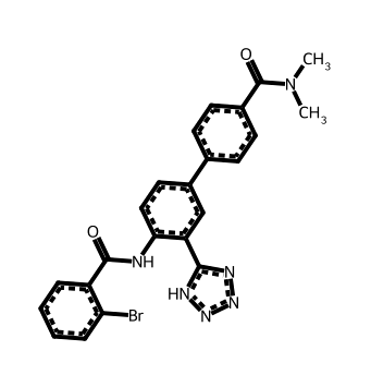 CN(C)C(=O)c1ccc(-c2ccc(NC(=O)c3ccccc3Br)c(-c3nnn[nH]3)c2)cc1